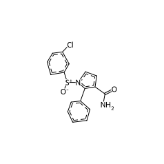 NC(=O)c1ccn([S+]([O-])c2cccc(Cl)c2)c1-c1ccccc1